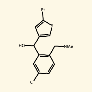 CCc1cc(C(O)c2cc(Cl)ccc2CNC)cs1